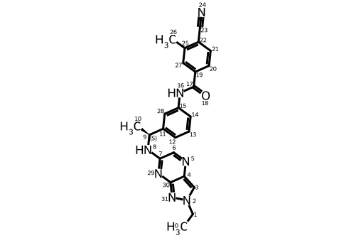 CCn1cc2ncc(N[C@@H](C)c3cccc(NC(=O)c4ccc(C#N)c(C)c4)c3)nc2n1